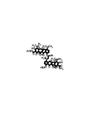 CCCCOc1ccc(N(C)CC(CCC)Oc2ccc(N(C)C)c3c2C(=O)C2=C(O)[C@]4(O)C(=O)C(C(=O)NC(C)=O)=C(O)C(N(C)C)[C@@H]4C[C@@H]2C3)c2c1C(=O)C1=C(O)[C@]3(OC(C)=O)C(=O)C(C(N)=O)=C(O)C(N(C)C)[C@@H]3C[C@@H]1C2